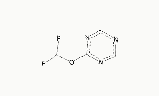 FC(F)Oc1ncncn1